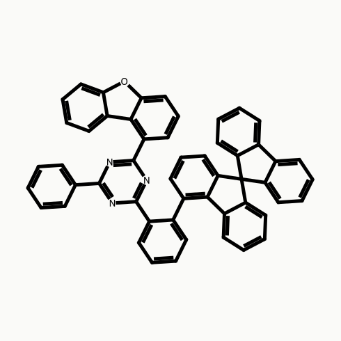 c1ccc(-c2nc(-c3ccccc3-c3cccc4c3-c3ccccc3C43c4ccccc4-c4ccccc43)nc(-c3cccc4oc5ccccc5c34)n2)cc1